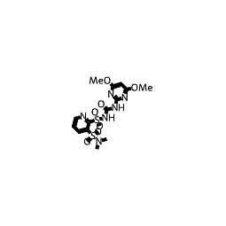 COc1cc(OC)nc(NC(=O)NS(=O)(=O)c2ncccc2S(=O)(=O)N(C)C)n1